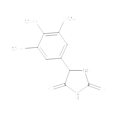 COc1cc(C2NC(=O)NC2=O)cc(OC)c1OC